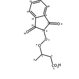 CC(CC(=O)O)OON1C(=O)c2ccccc2C1=O